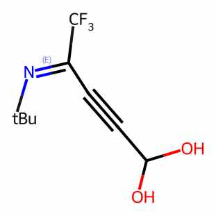 CC(C)(C)/N=C(\C#CC(O)O)C(F)(F)F